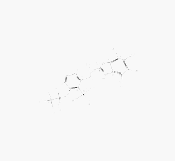 [2H]c1c([2H])c([2H])c2[nH]c([S+]([O-])Cc3nccc(OC([2H])([2H])C(F)(F)F)c3C([2H])([2H])[2H])nc2c1[2H]